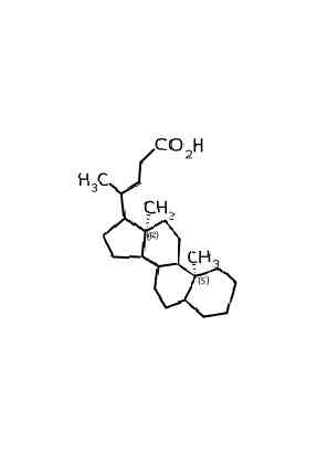 CC(CCC(=O)O)C1CCC2C3CCC4CCCC[C@]4(C)C3CC[C@]12C